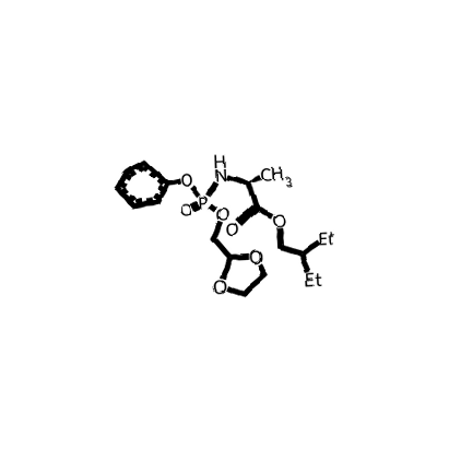 CCC(CC)COC(=O)[C@H](C)NP(=O)(OCC1OCCO1)Oc1ccccc1